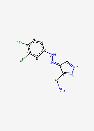 NCC1=NN=CC1=NNc1ccc(F)c(F)c1